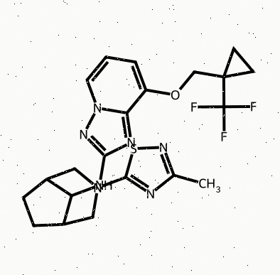 Cc1nsc(N2CC3CCC(C2)C3Nc2nc3c(OCC4(C(F)(F)F)CC4)cccn3n2)n1